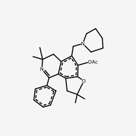 CC(=O)Oc1c(CN2CCCCC2)c2c(c3c1OC(C)(C)C3)C(c1ccccc1)=NC(C)(C)C2